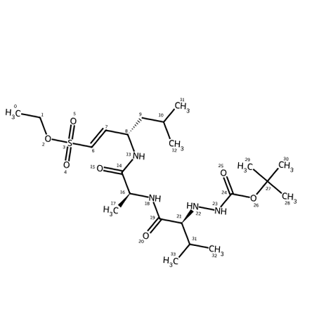 CCOS(=O)(=O)/C=C/[C@H](CC(C)C)NC(=O)[C@H](C)NC(=O)[C@@H](NNC(=O)OC(C)(C)C)C(C)C